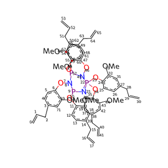 C=CCc1ccc(ON2P(Oc3ccc(CC=C)cc3OC)N=P(Oc3ccc(CC=C)cc3OC)(Oc3ccc(CC=C)cc3OC)N(Oc3ccc(CC=C)cc3OC)P2Oc2ccc(CC=C)cc2OC)c(OC)c1